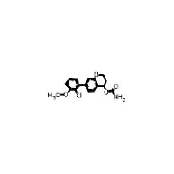 COc1cccc(-c2ccc3c(c2)OCCC3OC(N)=O)c1Cl